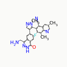 Cc1cnc2c(C)c(F)c(-c3c(-c4ccc5c(=O)[nH]nc(CN)c5c4)cnn3C)c(C#N)c2c1